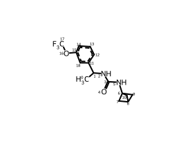 CC(NC(=O)NC12CC(C1)C2)c1cccc(OC(F)(F)F)c1